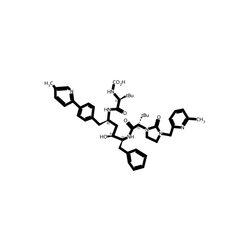 Cc1ccc(-c2ccc(C[C@H](C[C@H](O)[C@H](Cc3ccccc3)NC(=O)[C@@H](N3CCN(Cc4cccc(C)n4)C3=O)C(C)(C)C)NC(=O)[C@@H](NC(=O)O)C(C)(C)C)cc2)nc1